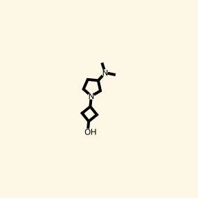 CN(C)C1CCN(C2CC(O)C2)C1